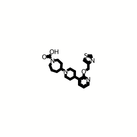 O=C(O)N1CCCC(N2CCC(c3cccnc3OCc3cscn3)CC2)CC1